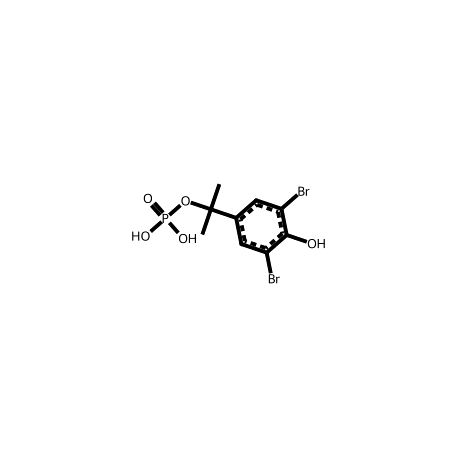 CC(C)(OP(=O)(O)O)c1cc(Br)c(O)c(Br)c1